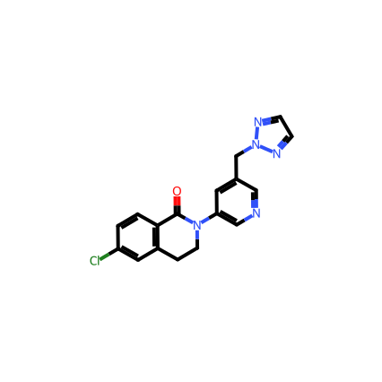 O=C1c2ccc(Cl)cc2CCN1c1cncc(Cn2nccn2)c1